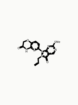 C=CCn1c(=O)c2cnc(SC)nc2n1-c1ccc2c(n1)NC(=O)CO2